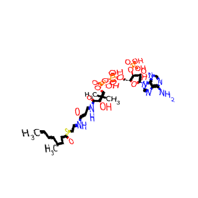 CCCCC(C)CCC(=O)SCCNC(=O)CCNC(=O)[C@H](O)C(C)(C)COP(=O)(O)OP(=O)(O)OC[C@H]1O[C@@H](n2cnc3c(N)ncnc32)[C@H](O)[C@@H]1OP(=O)(O)O